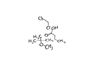 CCCC(=O)O.COC(C)(C)C.ClCCl